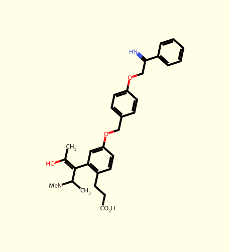 CNC(C)/C(=C(/C)O)c1cc(OCc2ccc(OCC(=N)c3ccccc3)cc2)ccc1CCC(=O)O